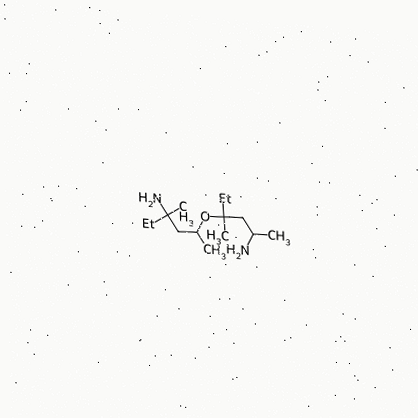 CCC(C)(N)CC(C)OC(C)(CC)CC(C)N